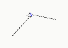 CCCCCCCCCCCCCCCCCCC1[CH]CC(C)(C)N(CCCCCCCCCCCCCCCCCC)C1(C)C